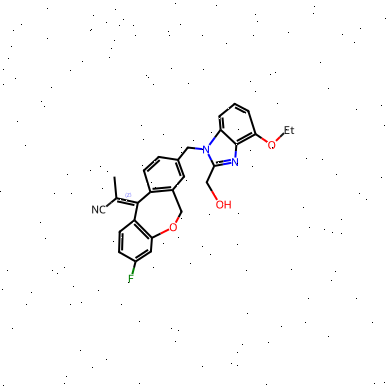 CCOc1cccc2c1nc(CO)n2Cc1ccc2c(c1)COc1cc(F)ccc1/C2=C(/C)C#N